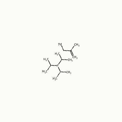 C=C(C)[CH2][Pd].CC(C)P(C(C)C)C(C)C